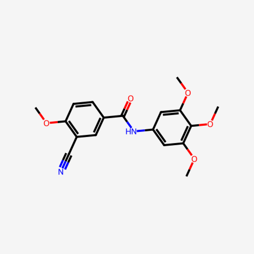 COc1ccc(C(=O)Nc2cc(OC)c(OC)c(OC)c2)cc1C#N